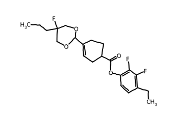 CCCC1(F)COC(C2=CCC(C(=O)Oc3ccc(CC)c(F)c3F)CC2)OC1